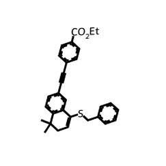 CCOC(=O)c1ccc(C#Cc2ccc3c(c2)C(SCc2ccccc2)=CCC3(C)C)cc1